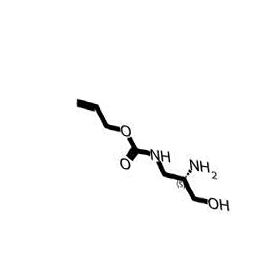 C=CCOC(=O)NC[C@H](N)CO